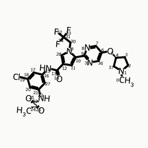 CN1CC[C@H](Oc2cnc(-c3cc(C(=O)Nc4cc(Cl)cc(NS(C)(=O)=O)c4)cn3CC(F)(F)F)nc2)C1